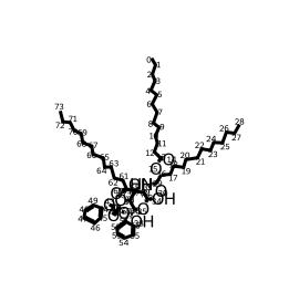 CCCCCCCCCCCCCC(=O)OC(CCCCCCCCCCCC)C(=O)N[C@H]1C(O)O[C@H](CO)[C@@H](OP(=O)(Oc2ccccc2)Oc2ccccc2)[C@@]1(O)C(=O)CCCCCCCCCCCCC